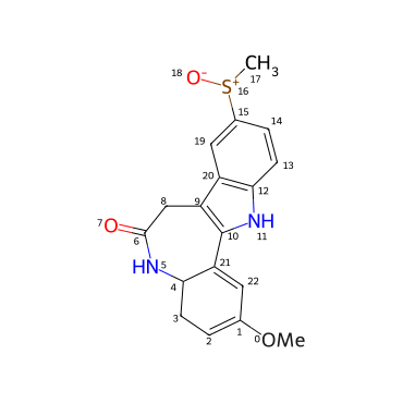 COC1=CCC2NC(=O)Cc3c([nH]c4ccc([S+](C)[O-])cc34)C2=C1